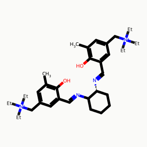 CC[N+](CC)(CC)Cc1cc(C)c(O)c(/C=N/C2CCCC[C@H]2/N=C/c2cc(C[N+](CC)(CC)CC)cc(C)c2O)c1